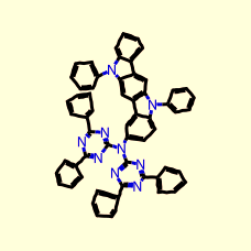 c1ccc(-c2nc(-c3ccccc3)nc(N(c3ccc4c(c3)c3cc5c(cc3n4-c3ccccc3)c3ccccc3n5-c3ccccc3)c3nc(-c4ccccc4)nc(-c4ccccc4)n3)n2)cc1